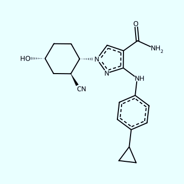 N#C[C@H]1C[C@H](O)CC[C@@H]1n1cc(C(N)=O)c(Nc2ccc(C3CC3)cc2)n1